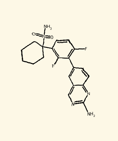 Nc1ncc2cc(-c3c(F)ccc(C4(S(N)(=O)=O)CCCCC4)c3F)ccc2n1